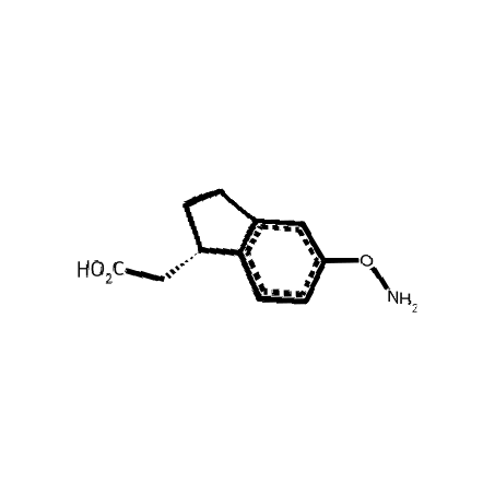 NOc1ccc2c(c1)CC[C@H]2CC(=O)O